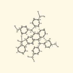 COc1ccc(N(c2ccc(C(C)C)cc2)c2c3ccccc3c(N(c3ccc(OC)cc3)c3ccc(C(C)C)cc3)c3cc4c(cc23)-c2ccccc2C4(C)C)cc1